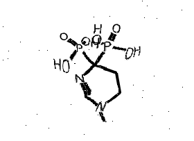 CN1C=NC(P(=O)(O)O)(P(=O)(O)O)CC1